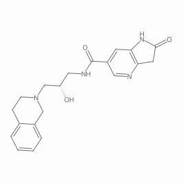 O=C1Cc2ncc(C(=O)NC[C@H](O)CN3CCc4ccccc4C3)cc2N1